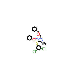 CC(C)c1nc(COCc2ccccc2)n(COc2ccccc2)c1Sc1cc(Cl)cc(Cl)c1